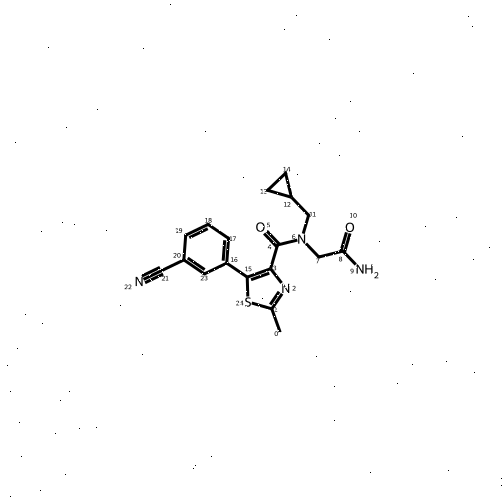 Cc1nc(C(=O)N(CC(N)=O)CC2CC2)c(-c2cccc(C#N)c2)s1